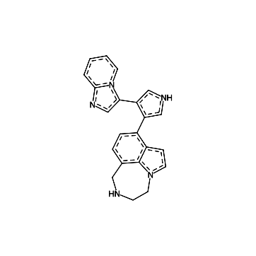 c1ccn2c(-c3c[nH]cc3-c3ccc4c5c3ccn5CCNC4)cnc2c1